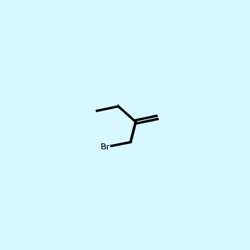 C=C([CH]C)CBr